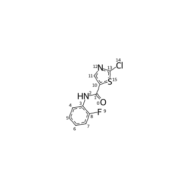 O=C(Nc1ccccc1F)c1cnc(Cl)s1